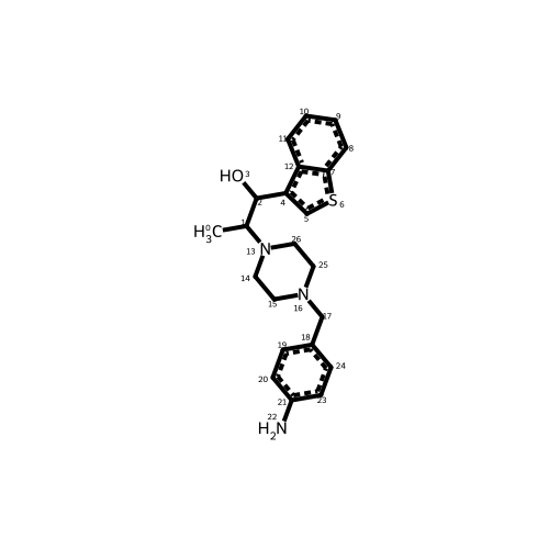 CC(C(O)c1csc2ccccc12)N1CCN(Cc2ccc(N)cc2)CC1